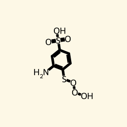 Nc1cc(S(=O)(=O)O)ccc1SOOO